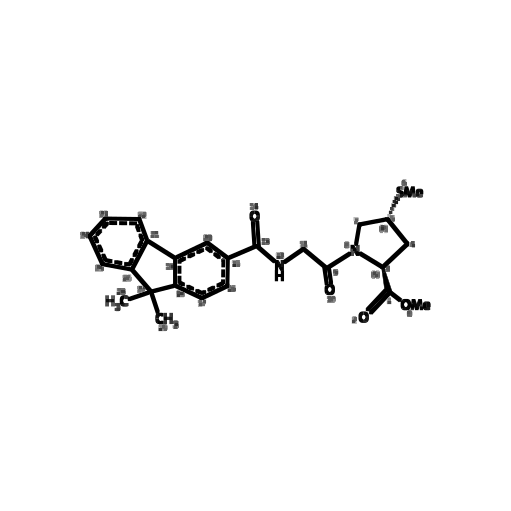 COC(=O)[C@@H]1C[C@@H](SC)CN1C(=O)CNC(=O)c1ccc2c(c1)-c1ccccc1C2(C)C